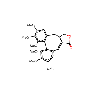 COc1cc2c(c(OC)c1OC)-c1c(cc(OC)c(OC)c1OC)CC1COC(=O)/C1=C/2